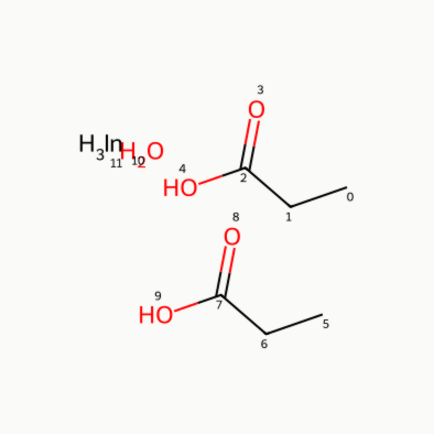 CCC(=O)O.CCC(=O)O.O.[InH3]